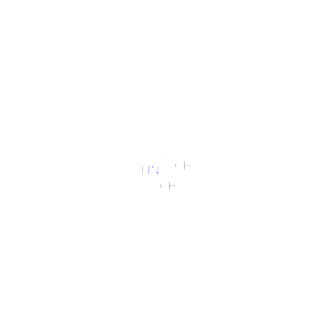 CNC1(C)CCc2ccccc21